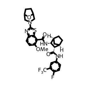 COc1ccc2nc(N3CC4CCC(C3)O4)sc2c1C(=O)N[C@@H]1[C@H]2CC[C@H](C2)[C@@H]1C(=O)Nc1ccc(F)c(C(F)(F)F)c1